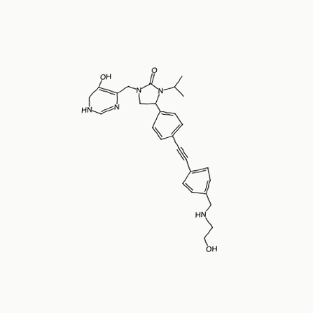 CC(C)N1C(=O)N(CC2=C(O)CNC=N2)CC1c1ccc(C#Cc2ccc(CNCCO)cc2)cc1